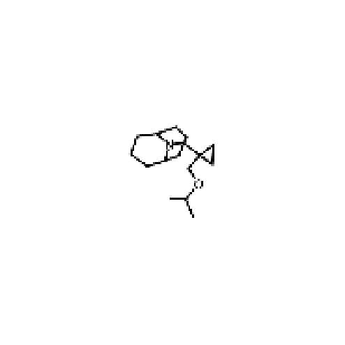 CC(C)OCC1(CN2C3CCCC2CCC3)CC1